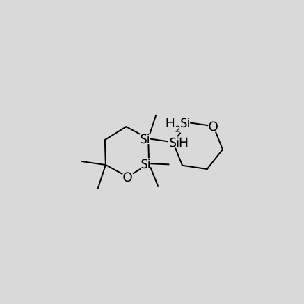 CC1(C)CC[Si](C)([SiH]2CCCO[SiH2]2)[Si](C)(C)O1